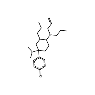 C=CCN(CCC)C1CCC(c2ccc(Cl)cc2)(N(C)C)CC1CCC